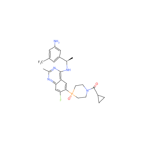 Cc1nc(N[C@H](C)c2cc(N)cc(C(F)(F)F)c2)c2cc(P3(=O)CCN(C(=O)C4CC4)CC3)c(F)cc2n1